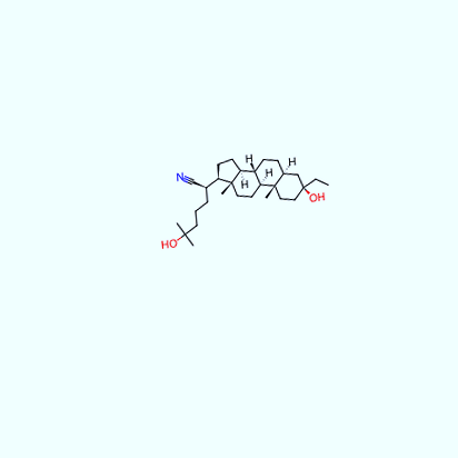 CC[C@]1(O)CC[C@@]2(C)[C@@H](CC[C@@H]3[C@@H]2CC[C@]2(C)[C@@H]([C@H](C#N)CCCC(C)(C)O)CC[C@@H]32)C1